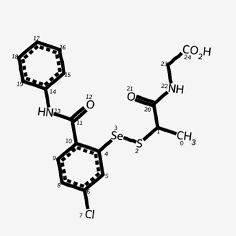 CC(S[Se]c1cc(Cl)ccc1C(=O)Nc1ccccc1)C(=O)NCC(=O)O